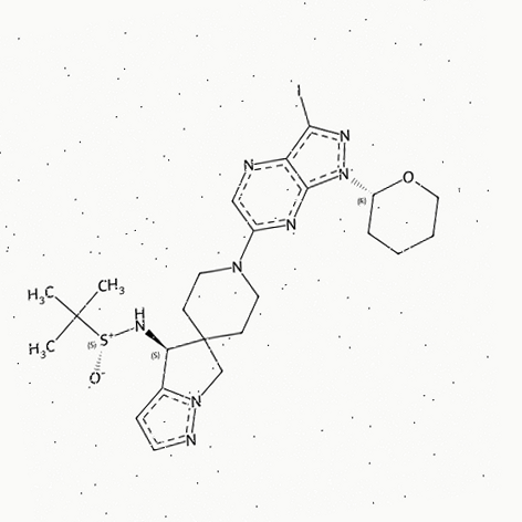 CC(C)(C)[S@@+]([O-])N[C@@H]1c2ccnn2CC12CCN(c1cnc3c(I)nn([C@H]4CCCCO4)c3n1)CC2